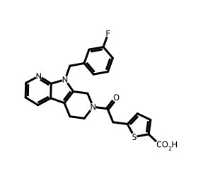 O=C(O)c1ccc(CC(=O)N2CCc3c(n(Cc4cccc(F)c4)c4ncccc34)C2)s1